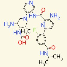 CC(C)NC(=O)c1ccc(F)c(-c2ccc(N)c(C(=O)Nc3cnccc3N3C[C@@H](N)[C@@H](NC(=O)O)[C@@H](C)C3)n2)c1